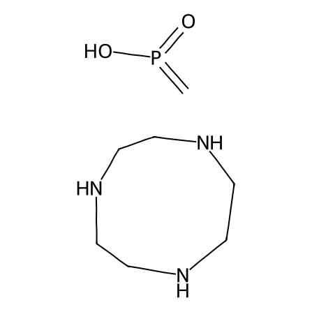 C1CNCCNCCN1.C=P(=O)O